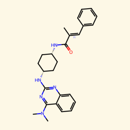 C/C(=C\c1ccccc1)C(=O)N[C@H]1CC[C@@H](Nc2nc(N(C)C)c3ccccc3n2)CC1